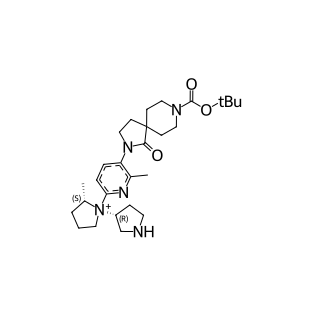 Cc1nc([N+]2([C@@H]3CCNC3)CCC[C@@H]2C)ccc1N1CCC2(CCN(C(=O)OC(C)(C)C)CC2)C1=O